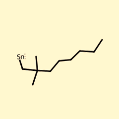 CCCCCCC(C)(C)[CH2][Sn]